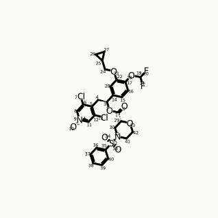 O=C(O[C@@H](Cc1c(Cl)c[n+]([O-])cc1Cl)c1ccc(OC(F)F)c(OCC2CC2)c1)[C@H]1CN(S(=O)(=O)c2ccccc2)CCO1